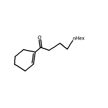 CCCCCCCCCC(=O)C1=CCCCC1